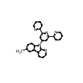 Cc1ccc2c(c1)c1cccnc1n2-c1cc(-c2ccccn2)nc(-c2ccccn2)c1